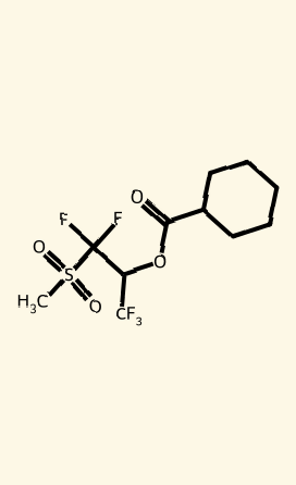 CS(=O)(=O)C(F)(F)C(OC(=O)C1CCCCC1)C(F)(F)F